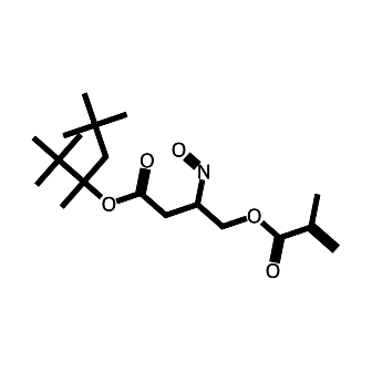 C=C(C)C(=O)OCC(CC(=O)OC(C)(CC(C)(C)C)C(C)(C)C)N=O